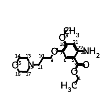 CCOC(=O)c1cc(OCCCN2CCOCC2)c(OC)cc1N